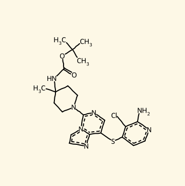 CC1(NC(=O)OC(C)(C)C)CCN(c2ncc(Sc3ccnc(N)c3Cl)c3nccn23)CC1